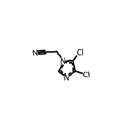 N#CCn1cnc(Cl)c1Cl